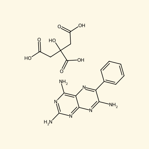 Nc1nc(N)c2nc(-c3ccccc3)c(N)nc2n1.O=C(O)CC(O)(CC(=O)O)C(=O)O